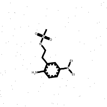 CCN(CC)c1ccc(N)c(CC[N]S(C)(=O)=O)c1